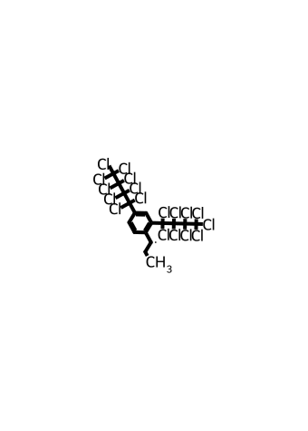 CC[CH]c1ccc(C(Cl)(Cl)C(Cl)(Cl)C(Cl)(Cl)C(Cl)(Cl)Cl)cc1C(Cl)(Cl)C(Cl)(Cl)C(Cl)(Cl)C(Cl)(Cl)Cl